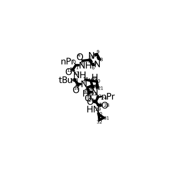 CCC[C@H](NC(=O)c1cnccn1)C(=O)N[C@H](C(=O)N1C[C@@H]2CCN([C@@H](CCC)C(=O)C(=O)NC3CC3)C(=O)[C@@H]1[C@H]2C)C(C)(C)C